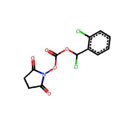 O=C(OC(Cl)c1ccccc1Cl)ON1C(=O)CCC1=O